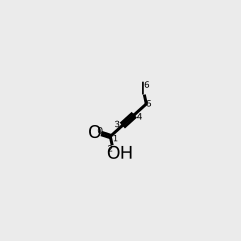 O=C(O)C#CCI